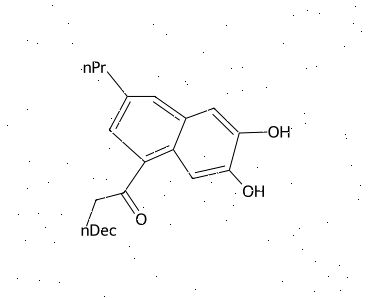 CCCCCCCCCCCC(=O)c1cc(CCC)cc2cc(O)c(O)cc12